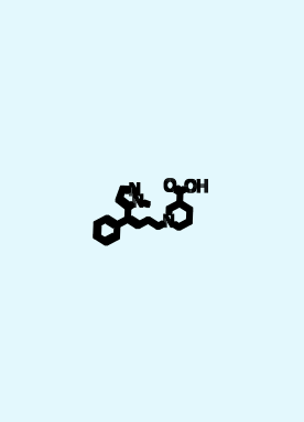 Cn1nccc1C(=CCCN1CCCC(C(=O)O)C1)c1ccccc1